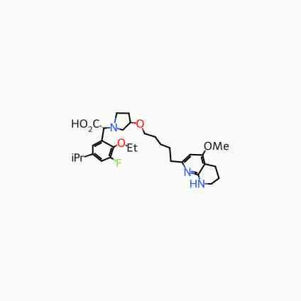 CCOc1c(F)cc(C(C)C)cc1[C@H](C(=O)O)N1CC[C@@H](OCCCCCc2cc(OC)c3c(n2)NCCC3)C1